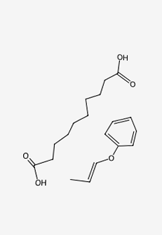 CC=COc1ccccc1.O=C(O)CCCCCCCCC(=O)O